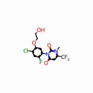 Cn1c(C(F)(F)F)cc(=O)n(-c2cc(OCCO)c(Cl)cc2F)c1=O